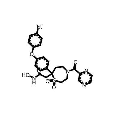 CCc1ccc(Oc2ccc(C3(CC(=O)NO)CCN(C(=O)c4cnccn4)CCS3(=O)=O)cc2)cc1